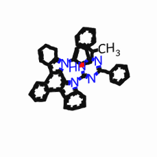 CC1C=CC(n2c3c(c4c5ccccc5c5c6ccccc6n(C6=NC(c7ccccc7)=NC(c7ccccc7)N6)c5c42)C=CCC3)=CC1